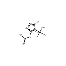 Cc1nnn(CC(F)F)c1C(F)(F)F